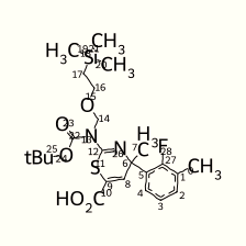 Cc1cccc(C2(C)C=C(C(=O)O)SC(N(COCC[Si](C)(C)C)C(=O)OC(C)(C)C)=N2)c1F